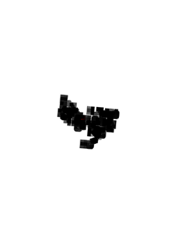 Nc1nc2c(nnn2[C@@H]2O[C@H](CCO)[C@H](F)[C@H]2P(=O)(S)OC[C@@]23CO[C@@H]([C@H](n4cnc5c(N)ncnc54)O2)[C@@H]3O)c(=O)[nH]1